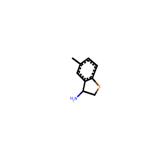 Cc1ccc2c(c1)C(N)CS2